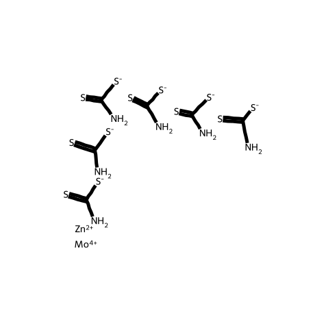 NC(=S)[S-].NC(=S)[S-].NC(=S)[S-].NC(=S)[S-].NC(=S)[S-].NC(=S)[S-].[Mo+4].[Zn+2]